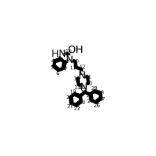 OC1Nc2ccccc2N1CCCN1CCN(C(c2ccccc2)c2ccccc2)CC1